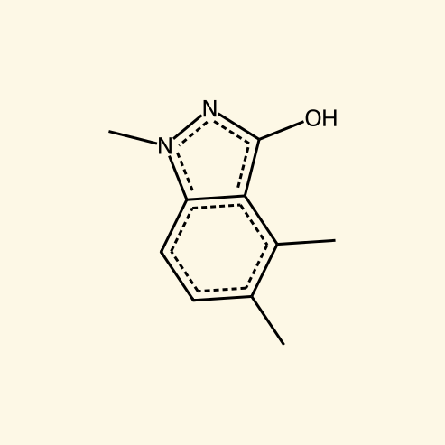 Cc1ccc2c(c(O)nn2C)c1C